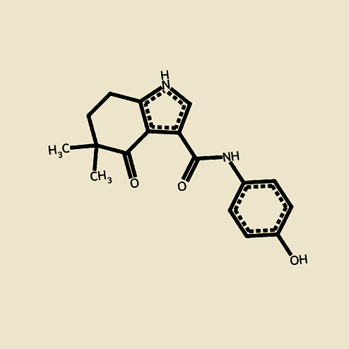 CC1(C)CCc2[nH]cc(C(=O)Nc3ccc(O)cc3)c2C1=O